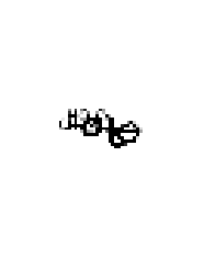 [C-]#[N+]c1ccc(C2(CC(=O)O)C3CC4CC(C3)CC2C4)cc1